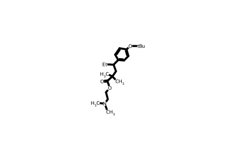 CCC(CC(C)(C)C(=O)OCCN(C)C)c1ccc(OC(C)(C)C)cc1